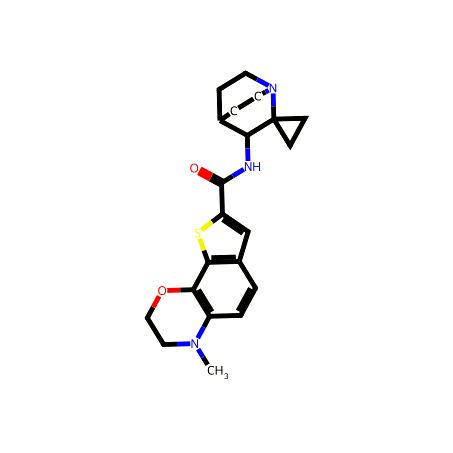 CN1CCOc2c1ccc1cc(C(=O)NC3C4CCN(CC4)C34CC4)sc21